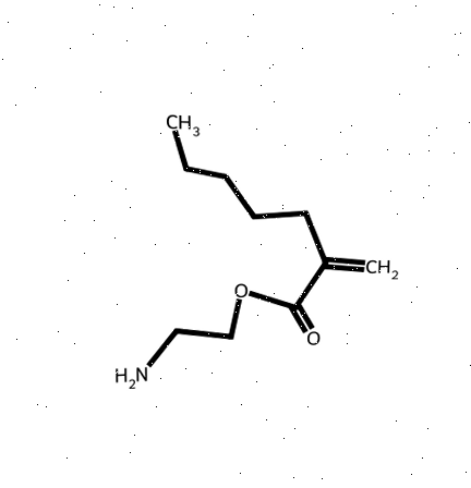 C=C(CCCCC)C(=O)OCCN